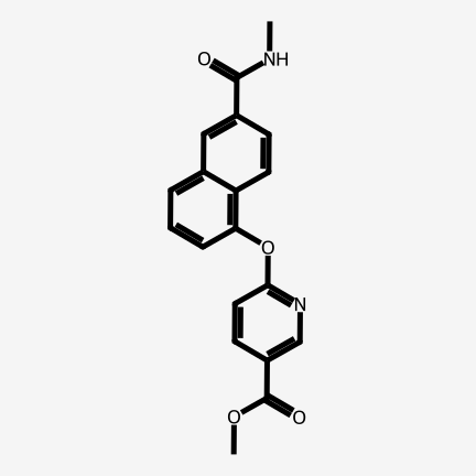 CNC(=O)c1ccc2c(Oc3ccc(C(=O)OC)cn3)cccc2c1